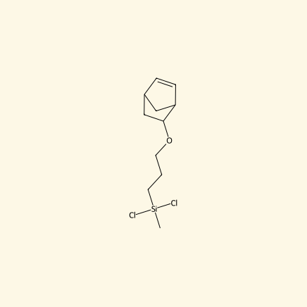 C[Si](Cl)(Cl)CCCOC1CC2C=CC1C2